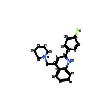 Fc1ccc(-c2cc(CN3CCCCC3)c3ccccc3n2)cc1